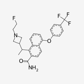 CC(c1c(C(N)=O)ccc2c(Oc3ccc(C(F)(F)F)cc3)cccc12)C1CN(CCF)C1